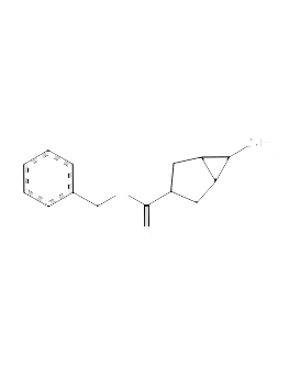 NC1C2CC(C(=O)OCc3ccccc3)CC12